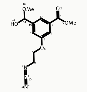 COC(=O)c1cc(OCCN=[N+]=[N-])cc(C(O)OC)c1